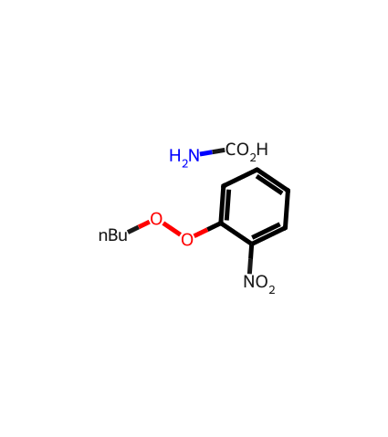 CCCCOOc1ccccc1[N+](=O)[O-].NC(=O)O